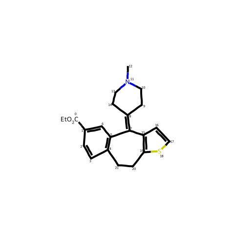 CCOC(=O)c1ccc2c(c1)C(=C1CCN(C)CC1)c1ccsc1CC2